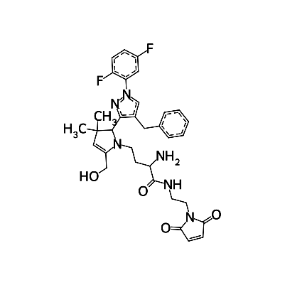 CC1(C)C=C(CO)N(CCC(N)C(=O)NCCN2C(=O)C=CC2=O)C1c1nn(-c2cc(F)ccc2F)cc1Cc1ccccc1